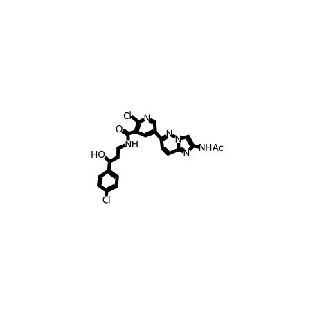 CC(=O)Nc1cn2nc(-c3cnc(Cl)c(C(=O)NCCC(O)c4ccc(Cl)cc4)c3)ccc2n1